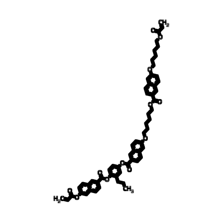 C=CC(=O)OCCCCCCOc1ccc2cc(C(=O)OCCCCCCOc3ccc4cc(C(=O)Oc5ccc(OC(=O)c6ccc7cc(OC(=O)C=C)ccc7c6)c(CCC)c5)ccc4c3)ccc2c1